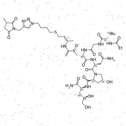 C=C(N/C(C)=C\CSCCCCn1cc(CN2C(=O)CC(C)C2=O)nn1)[S+]([O-])C[C@H](NC(=O)CNC(=O)[C@@H](NC(=O)CC)[C@@H](C)CC)C(=O)N[C@@H](CC(N)=O)C(=O)N1C[C@H](O)C[C@H]1C(=O)N[C@H](C(N)=O)[C@@H](C)[C@@H](O)CO